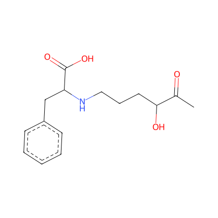 CC(=O)C(O)CCCNC(Cc1ccccc1)C(=O)O